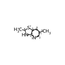 Cc1cnc2c(c1)SC(C)N2